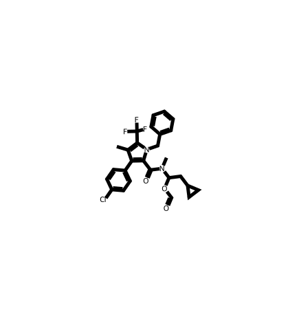 Cc1c(-c2ccc(Cl)cc2)c(C(=O)N(C)C(CC2CC2)OC=O)n(Cc2ccccc2)c1C(F)(F)F